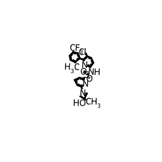 Cc1ccc(C(F)(F)F)cc1-c1nc(NS(=O)(=O)c2cccc(N3CC(C)(O)C3)n2)ccc1Cl